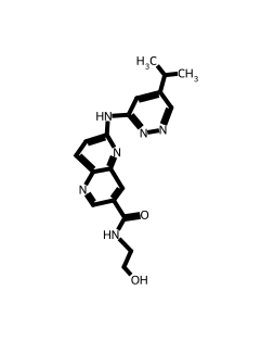 CC(C)c1cnnc(Nc2ccc3ncc(C(=O)NCCO)cc3n2)c1